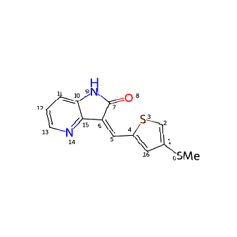 CSc1csc(C=C2C(=O)Nc3cccnc32)c1